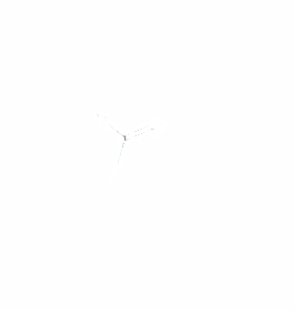 FC(F)=[Se]